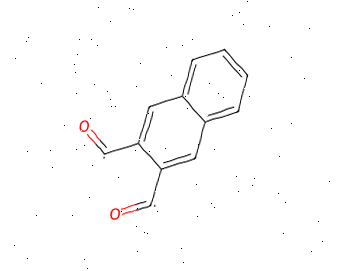 O=[C]c1cc2ccccc2cc1[C]=O